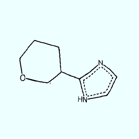 [C]1OCCCC1c1ncc[nH]1